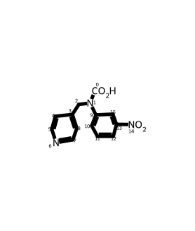 O=C(O)N(Cc1ccncc1)c1cccc([N+](=O)[O-])c1